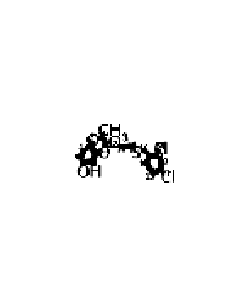 CC(Oc1ccc(O)cc1)C(=O)OCCSCc1ccc(Cl)cc1Cl